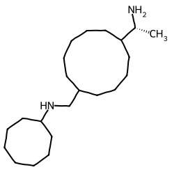 C[C@@H](N)C1CCCCCC(CNC2CCCCCCC2)CCCC1